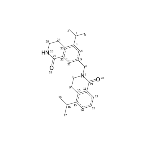 CC(C)c1cc(CN2CCc3c(cccc3C(C)C)C2=O)cc2c1CCNC2=O